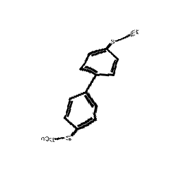 CCCCCCCCSc1ccc(-c2ccc(SCC)cc2)cc1